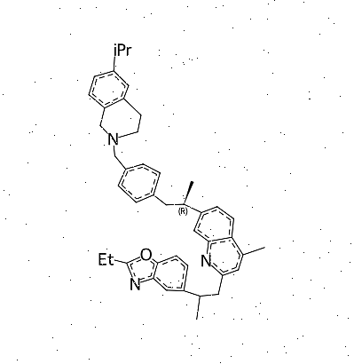 CCc1nc2cc(C(C)Cc3cc(C)c4ccc([C@H](C)Cc5ccc(CN6CCc7cc(C(C)C)ccc7C6)cc5)cc4n3)ccc2o1